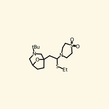 CCSC(CC12CCC(CN(C(C)(C)C)C1)O2)N1CCS(=O)(=O)CC1